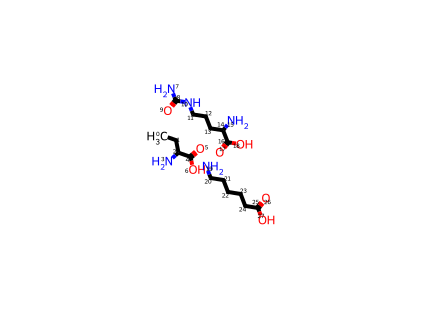 CCC(N)C(=O)O.NC(=O)NCCCC(N)C(=O)O.NCCCCCC(=O)O